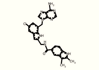 Cc1[nH]c2ccc(C(=O)NCc3cc4cc(Cl)cc(Cn5cnc6c(N)ncnc65)c4[nH]3)cc2c1C